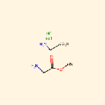 CCCCOC(=O)CN.Cl.Cl.NCC(=O)O